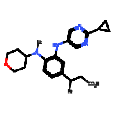 CCC(CC(=O)O)c1ccc(N(CC)C2CCOCC2)c(Nc2cnc(C3CC3)nc2)c1